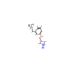 CCc1cccc(OCC2CNC2)c1